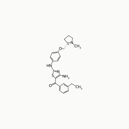 CCc1cccc(C(=O)c2sc(Nc3ccc(OC[C@@H]4CCCN4C)cc3)nc2N)c1